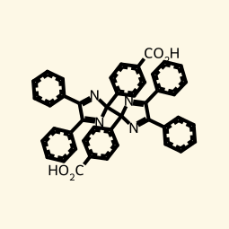 O=C(O)c1ccc(C2(C3(c4ccc(C(=O)O)cc4)N=C(c4ccccc4)C(c4ccccc4)=N3)N=C(c3ccccc3)C(c3ccccc3)=N2)cc1